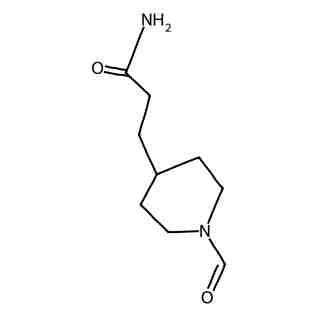 NC(=O)CCC1CCN(C=O)CC1